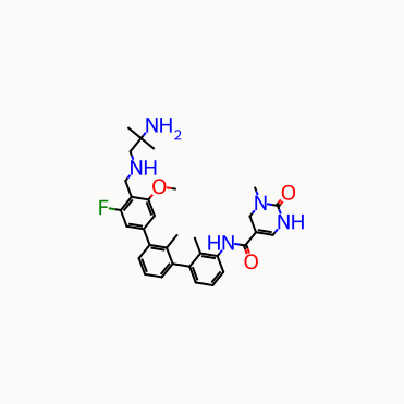 COc1cc(-c2cccc(-c3cccc(NC(=O)C4=CNC(=O)N(C)C4)c3C)c2C)cc(F)c1CNCC(C)(C)N